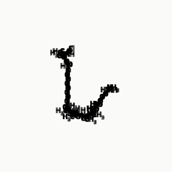 CC(=O)N1c2ccc(-c3ccc(C(=O)NCCOCCOCCOCCOCCOCCOCCOCCOCCNC(=O)c4cc(NC(=O)c5nc(NC(=O)CCNC(=O)C6CC(NC(=O)c7nc(NC(=O)CCNC(=O)COCCOCCOCCNC(=N)N)cn7C)=CN6C)cn5C)cn4C)cc3)cc2[C@H](Nc2ccc(Cl)cc2)C[C@@H]1C